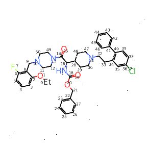 CCOc1cccc(F)c1CN1CCN(C(=O)[C@H](NC(=O)OCc2ccccc2)C2CCN(CCc3cc(Cl)ccc3-c3ccccc3)CC2)CC1